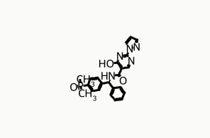 CP(C)(=O)c1ccc([C@@H](NC(=O)c2cnc(-n3cccn3)nc2O)c2ccccc2)cc1